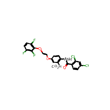 O=C([AsH]c1ccc(OCCOc2c(F)ccc(F)c2F)cc1C(=O)O)c1ccc(Cl)cc1Cl